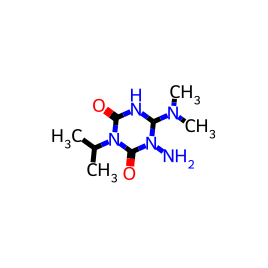 CC(C)N1C(=O)NC(N(C)C)N(N)C1=O